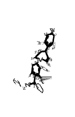 NC(=O)c1ccc(N2CCC(c3ccc(Br)cc3)CC2)cc1F